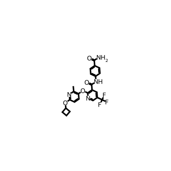 Cc1nc(OC2CCC2)ccc1Oc1ncc(C(F)(F)F)cc1C(=O)Nc1ccc(C(N)=O)cc1